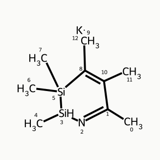 CC1=N[SiH](C)[Si](C)(C)C(C)=C1C.[K]